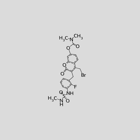 CNS(=O)(=O)Nc1cccc(Cc2c(CBr)c3ccc(OC(=O)N(C)C)cc3oc2=O)c1F